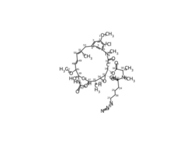 COc1cc2cc(c1Cl)N(C)C(=O)C[C@H](OC(=O)[C@H](C)N(C)C(=O)CCCCN=[N+]=[N-])[C@@]1(C)O[C@H]1[C@H](C)[C@@H]1C[C@@](O)(NC(=O)O1)C(OC)/C=C/C=C(\C)C2